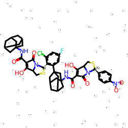 O=C(NC12CC3CC(C1)CC(c1cc(F)cc(Cl)c1[C@@H]1SCC4C(O)=C(C(=O)NC56CC7CC(CC(C7)C5)C6)C(=O)N41)(C3)C2)C1=C(O)C2CS[C@@H](c3ccc([N+](=O)[O-])cc3)N2C1=O